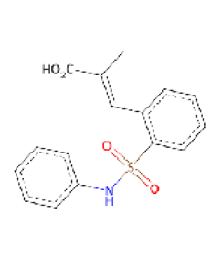 CC(=Cc1ccccc1S(=O)(=O)Nc1ccccc1)C(=O)O